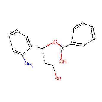 Nc1ccccc1[C@@H](CCO)OC(O)c1ccccc1